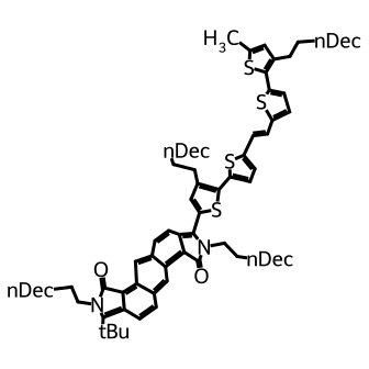 CCCCCCCCCCCCc1cc(C)sc1-c1ccc(/C=C/c2ccc(-c3sc(C4=c5ccc6cc7c8c(ccc7cc6c5C(=O)N4CCCCCCCCCCCC)=C(C(C)(C)C)N(CCCCCCCCCCCC)C8=O)cc3CCCCCCCCCCCC)s2)s1